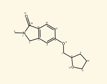 CN1Cc2cc(OCC3CCCO3)ccc2C1=O